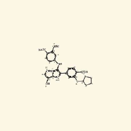 COc1ccc(Nc2c(-c3ccc(OC)c(OC4CCCC4)c3)[nH]c3c(C#N)cnn23)cc1OC